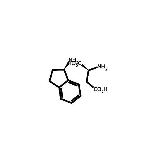 N[C@@H](CC(=O)O)C(=O)O.N[C@@H]1CCc2ccccc21